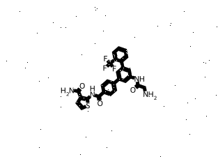 NCC(=O)Nc1cc(-c2ccc(C(=O)Nc3sccc3C(N)=O)cc2)cc(-c2ccccc2C(F)(F)F)c1